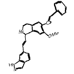 COc1cc2c(cc1OCc1ccccc1)CCNC2C=Cc1ccc2cn[nH]c2c1